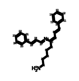 NCCCCCC(=CC=Cc1ccccc1)N=CC=Cc1ccccc1